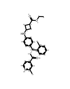 CCOC(=O)C1CC(Nc2ccc([C@@H](CC(=O)c3ccnc(C)c3)c3ccccc3C)cc2)C1